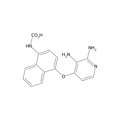 Nc1nccc(Oc2ccc(NC(=O)O)c3ccccc23)c1N